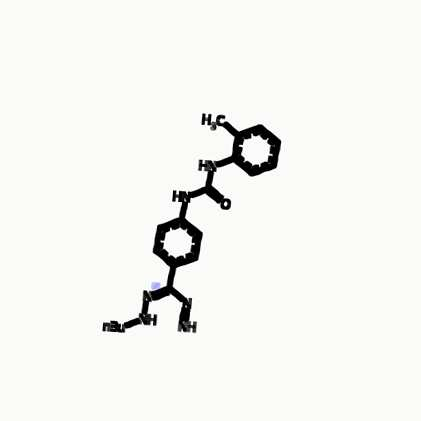 CCCCN/N=C(\N=N)c1ccc(NC(=O)Nc2ccccc2C)cc1